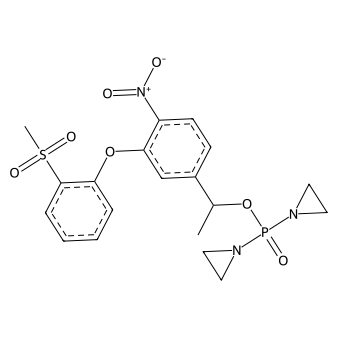 CC(OP(=O)(N1CC1)N1CC1)c1ccc([N+](=O)[O-])c(Oc2ccccc2S(C)(=O)=O)c1